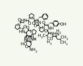 CC[C@H](C)[C@H](NC(=O)[C@@H]1CCCN1C(=O)CNC(=O)[C@@H]1CCCN1C(=O)[C@H](Cc1ccccc1)NC(=O)[C@@H]1CCCN1C(=O)[C@H](Cc1ccc(O)cc1)NC(=O)[C@@H](NC(=O)[C@@H](N)CC(C)C)C(C)C)C(=O)N1CCC[C@H]1C(=O)N[C@@H](CC(N)=O)C(=O)O